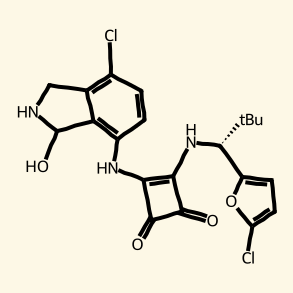 CC(C)(C)[C@@H](Nc1c(Nc2ccc(Cl)c3c2C(O)NC3)c(=O)c1=O)c1ccc(Cl)o1